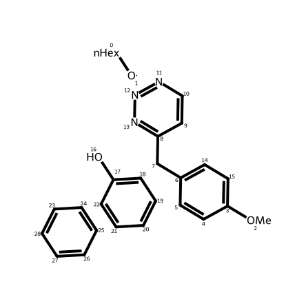 CCCCCC[O].COc1ccc(Cc2ccnnn2)cc1.Oc1ccccc1.c1ccccc1